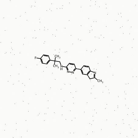 CC1=Nc2ccc(-c3ccc(NCC(C)(C)c4ccc(F)cc4)nn3)cc2C1